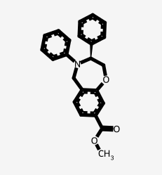 COC(=O)c1ccc2c(c1)OC[C@H](c1ccccc1)N(c1ccccc1)C2